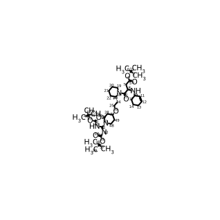 CC(C)(C)OC(=O)CC(N[C@@H]1C=CCCC1)C(=O)N1CCCC[C@H]1CCOC1CCN(C(=NC(=O)OC(C)(C)C)NC(=O)OC(C)(C)C)CC1